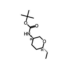 CC[C@@H]1CC[C@@H](NC(=O)OC(C)(C)C)CO1